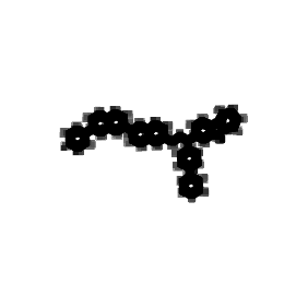 c1ccc(-c2ccc(C(CCc3ccc4cc(-c5ccc6ccc(-c7ccccc7)cc6c5)ccc4c3)c3ccc4c(c3)sc3ccccc34)cc2)cc1